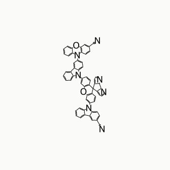 N#Cc1ccc2c(c1)Oc1ccccc1N2c1ccc2c(c1)c1ccccc1n2-c1ccc2c(c1)Oc1cc(-n3c4ccccc4c4cc(C#N)ccc43)ccc1C21c2cccnc2-c2ncccc21